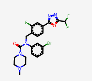 CN1CCN(C(=O)N(Cc2ccc(-c3nnc(C(F)F)o3)cc2F)c2cccc(Br)c2)CC1